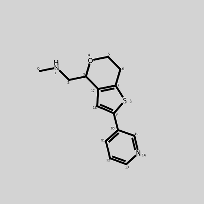 CNCC1OCCc2sc(-c3cccnc3)cc21